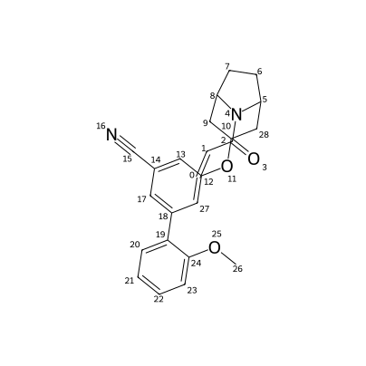 C=CC(=O)N1C2CCC1CC(Oc1cc(C#N)cc(-c3ccccc3OC)c1)C2